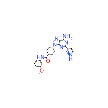 COc1cccc(NC(=O)C2CCC(n3cnc4c(N)nc(-c5cc[nH]n5)nc43)CC2)c1